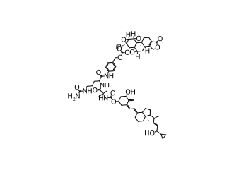 C=C1/C(=C\C=C2/CCC[C@@]3(C)C2CCC3[C@@H](C)/C=C/C(O)C2CC2)C[C@@H](OC(=O)NC(C)(C)C(=O)NC(CCCNC(N)=O)C(=O)Nc2ccc(COC(=O)O[C@@H]3[C@@]4(C(C)C)O[C@H]4[C@@H]4O[C@]45[C@]34O[C@H]4C[C@H]3C4=C(CC[C@@]35C)C(=O)OC4)cc2)C[C@@H]1O